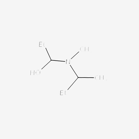 CCC(C)N(C)C(O)CC